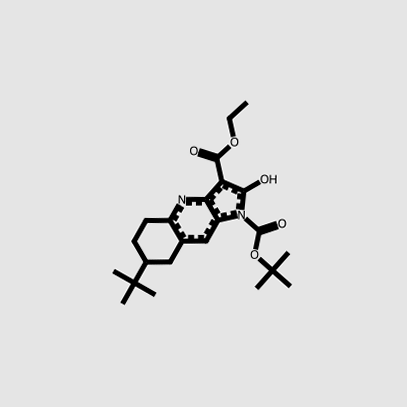 CCOC(=O)c1c(O)n(C(=O)OC(C)(C)C)c2cc3c(nc12)CCC(C(C)(C)C)C3